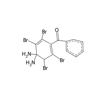 NC1(N)C(Br)=C(Br)C(C(=O)c2ccccc2)=C(Br)C1Br